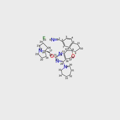 N#Cc1ccc2c(c1)C1(CCC2)Cc2nc(OC[C@@]34CCCN3C[C@H](F)C4)nc(N3CCCCCC3)c2CO1